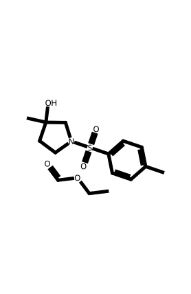 CCOC=O.Cc1ccc(S(=O)(=O)N2CCC(C)(O)C2)cc1